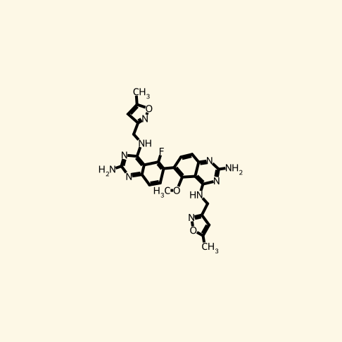 COc1c(-c2ccc3nc(N)nc(NCc4cc(C)on4)c3c2F)ccc2nc(N)nc(NCc3cc(C)on3)c12